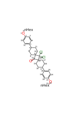 CCCCCCOc1ccc(C2CCC3(CC2)C(=O)C2(CCC(c4ccc(OCCCCCC)cc4)CC2)C3(Cl)Cl)cc1